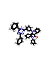 O=c1c2c3ccccc3n(-c3cccc(-c4nc(-c5ccccc5)nc(-c5ccccc5)n4)c3)c2c2ccccc2n1-c1ccccc1